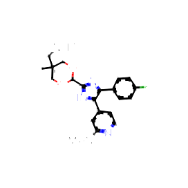 CNc1cc(-c2[nH]c(C3OCC(C)(CNC(C)=O)CO3)nc2-c2ccc(F)cc2)ccn1